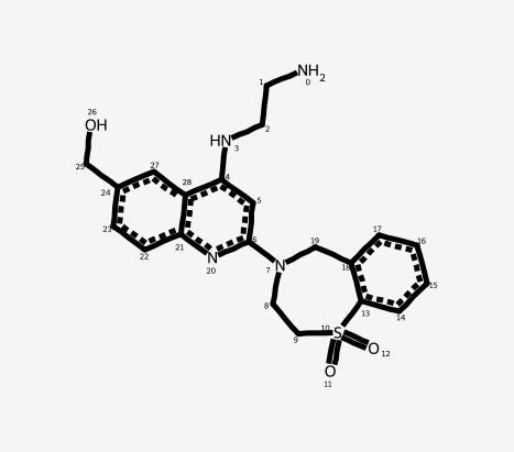 NCCNc1cc(N2CCS(=O)(=O)c3ccccc3C2)nc2ccc(CO)cc12